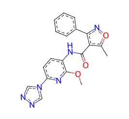 COc1nc(-n2cnnc2)ccc1NC(=O)c1c(-c2ccccc2)noc1C